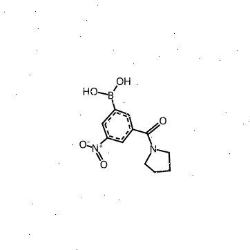 O=C(c1cc(B(O)O)cc([N+](=O)[O-])c1)N1CCCC1